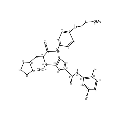 COCCOc1ccc(NC(=O)[C@H](CC2CCCC2)N(C=O)c2ccc([C@H](C)Nc3cc(Cl)cnc3C)s2)cc1